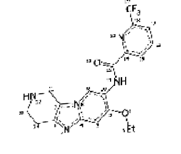 CCOc1cc2nc3c(n2cc1NC(=O)c1cccc(C(F)(F)F)n1)CNCC3